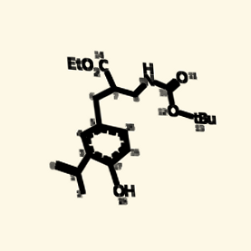 C=C(C)c1cc(CC(CNC(=O)OC(C)(C)C)C(=O)OCC)ccc1O